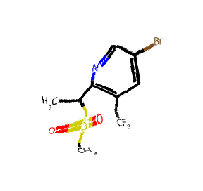 CC(c1ncc(Br)cc1C(F)(F)F)S(C)(=O)=O